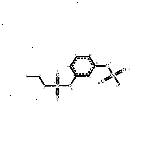 CCCS(=O)(=O)Oc1cccc(OS(C)(=O)=O)c1